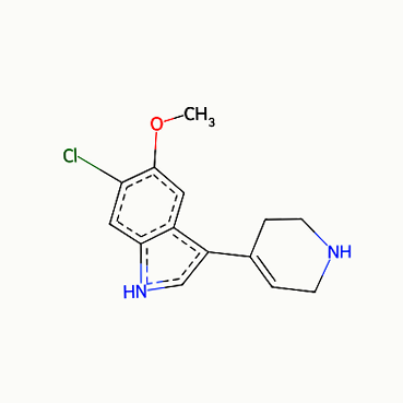 COc1cc2c(C3=CCNCC3)c[nH]c2cc1Cl